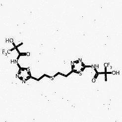 CC(O)(C(=O)Nc1nnc(CCSCCc2nnc(NC(=O)C(C)(O)C(F)(F)F)s2)s1)C(F)(F)F